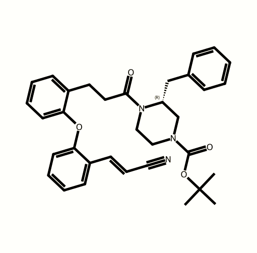 CC(C)(C)OC(=O)N1CCN(C(=O)CCc2ccccc2Oc2ccccc2C=CC#N)[C@H](Cc2ccccc2)C1